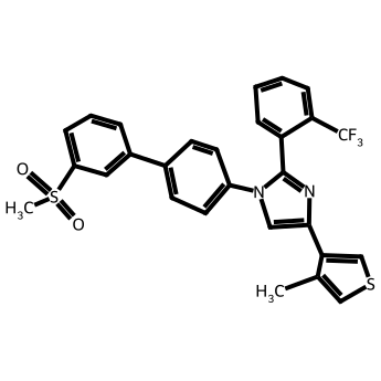 Cc1cscc1-c1cn(-c2ccc(-c3cccc(S(C)(=O)=O)c3)cc2)c(-c2ccccc2C(F)(F)F)n1